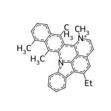 CCc1cc2cc[n+](C)c3c4c(C)c5cccc(C)c5c(C)c4n4c5ccccc5c1c4c23